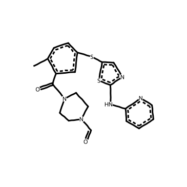 Cc1ccc(Sc2cnc(Nc3ccccn3)s2)cc1C(=O)N1CCN(C=O)CC1